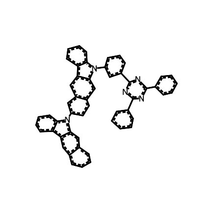 c1ccc(-c2nc(-c3ccccc3)nc(-c3cccc(-n4c5ccccc5c5cc6cc(-n7c8ccccc8c8cc9ccccc9cc87)ccc6cc54)c3)n2)cc1